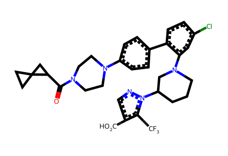 O=C(O)c1cnn(C2CCCN(c3cc(Cl)ccc3-c3ccc(N4CCN(C(=O)C5CC56CC6)CC4)cc3)C2)c1C(F)(F)F